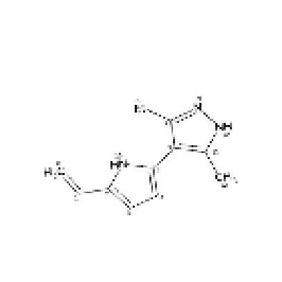 C=Cc1ccc(-c2c(CC)n[nH]c2C)[nH]1